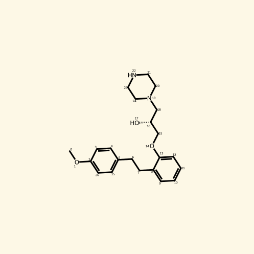 COc1ccc(CCc2ccccc2OC[C@H](O)CN2CCNCC2)cc1